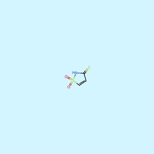 O=S1(=O)C=CC(=S)N1